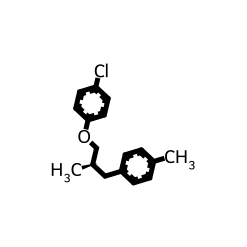 Cc1ccc(C[C@@H](C)COc2ccc(Cl)cc2)cc1